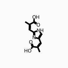 CC(=Cc1c[nH]c(C=C(C)C(=O)O)n1)C(=O)O